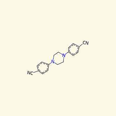 N#Cc1ccc(N2CCN(c3ccc(C#N)cc3)CC2)cc1